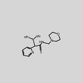 CCCN(CCC)C(C(=S)NCN1CCOCC1)c1ccccn1